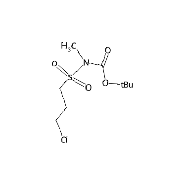 CN(C(=O)OC(C)(C)C)S(=O)(=O)CCCCl